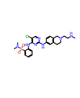 CNCCN1CCc2cc(Nc3ncc(Cl)c(Nc4ccccc4S(=O)(=O)N(C)C)n3)ccc2C1